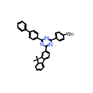 CC(C)(C)c1ccc(-c2nc(-c3ccc(-c4ccccc4)cc3)nc(-c3ccc4c(c3)C(C)(C)c3ccccc3-4)n2)cc1